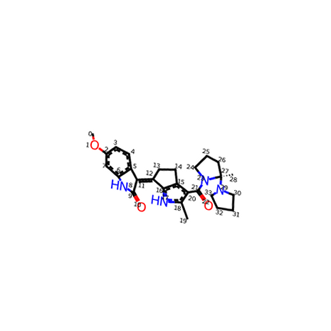 COc1ccc2c(c1)NC(=O)/C2=C1/CCc2c1[nH]c(C)c2C(=O)N1CCC[C@@]1(C)N1CCCC1